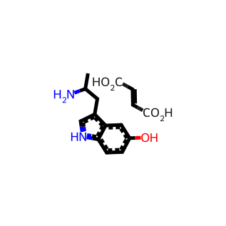 CC(N)Cc1c[nH]c2ccc(O)cc12.O=C(O)C=CC(=O)O